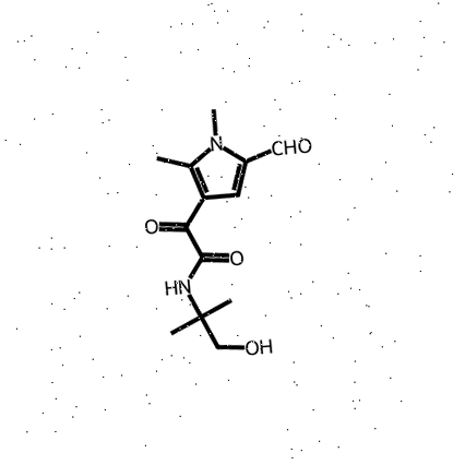 Cc1c(C(=O)C(=O)NC(C)(C)CO)cc(C=O)n1C